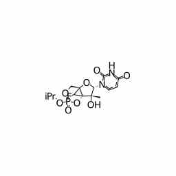 CC(C)OP1(=O)OC[C@@]23O[C@H](n4ccc(=O)[nH]c4=O)[C@](C)(O)[C@@]2(O1)C3F